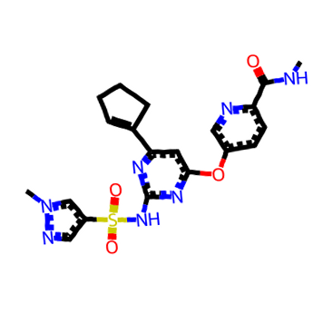 CNC(=O)c1ccc(Oc2cc(C3=CCCC3)nc(NS(=O)(=O)c3cnn(C)c3)n2)cn1